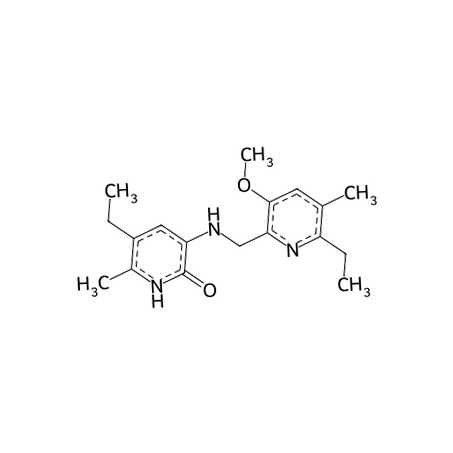 CCc1cc(NCc2nc(CC)c(C)cc2OC)c(=O)[nH]c1C